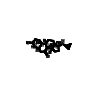 C[C@]12CCC(=O)N[C@@H]1CC(=O)[C@@H]1[C@@H]2CC[C@]2(C)[C@@H](NC3CC3)CC[C@@H]12